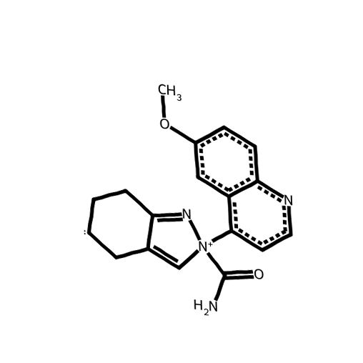 COc1ccc2nccc([N+]3(C(N)=O)C=C4C[C]CCC4=N3)c2c1